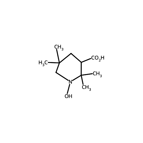 CC1(C)CC(C(=O)O)C(C)(C)N(O)C1